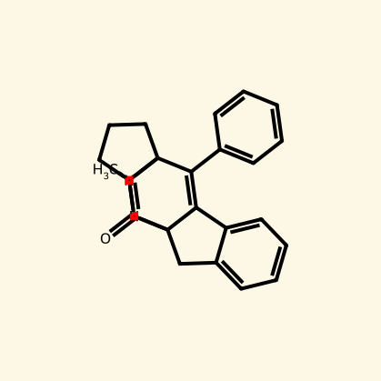 CC1=NC23Cc4ccccc4C2=C(c2ccccc2)C12CCCN2C3=O